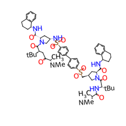 CN[C@@H](C)C(=O)C[C@H](C(=O)N1C[C@@H](NS(=O)(=O)c2ccc(-c3ccc(S(=O)(=O)C[C@H]4C[C@@H](C(=O)NC5CCCc6ccccc65)N(C(=O)[C@@H](NC(=O)[C@H](C)NC)C(C)(C)C)C4)cc3)cc2)C[C@H]1C(=O)N[C@@H]1CCCc2ccccc21)C(C)(C)C